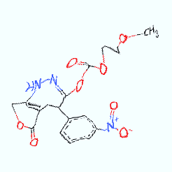 COCCOC(=O)OC1=NNC2=C(C(=O)OC2)C1c1cccc([N+](=O)[O-])c1